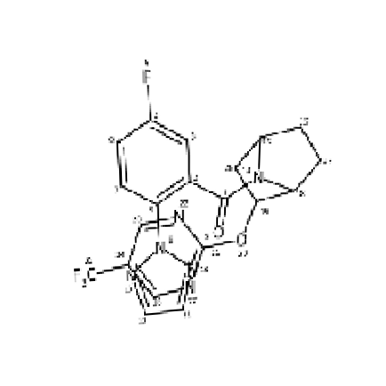 O=C(c1cc(F)ccc1-n1nccn1)N1C2CCC1C(Oc1ncc(C(F)(F)F)cn1)C2